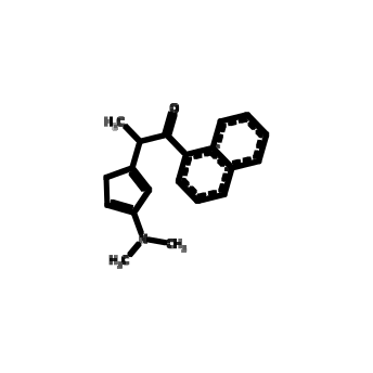 CC(C(=O)c1cccc2ccccc12)C1=CC(N(C)C)=CC1